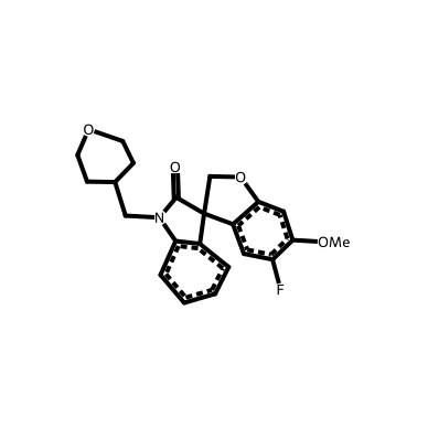 COc1cc2c(cc1F)C1(CO2)C(=O)N(CC2CCOCC2)c2ccccc21